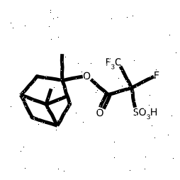 CC1(OC(=O)C(F)(C(F)(F)F)S(=O)(=O)O)CC2CC(C1)C2(C)C